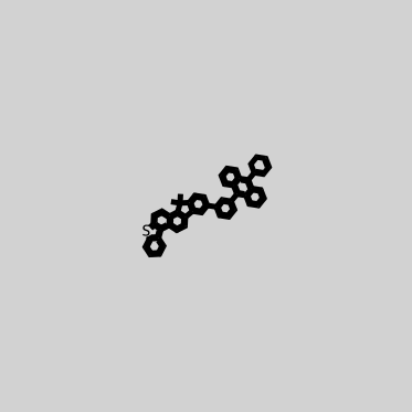 CC1(C)c2ccc(-c3cccc(-c4c5ccccc5c(C5=CC=CCC5)c5ccccc45)c3)cc2-c2ccc3c(ccc4sc5ccccc5c43)c21